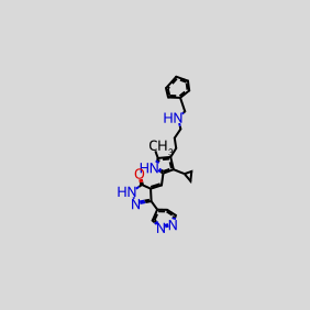 Cc1[nH]c(C=C2C(=O)NN=C2c2ccnnc2)c(C2CC2)c1CCCNCc1ccccc1